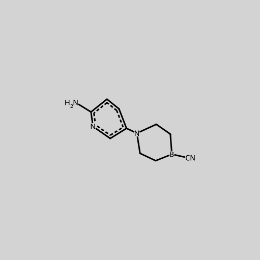 N#CB1CCN(c2ccc(N)nc2)CC1